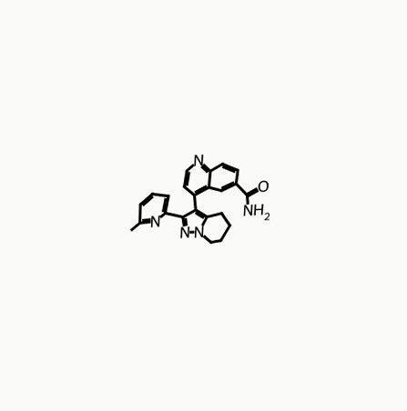 Cc1cccc(-c2nn3c(c2-c2ccnc4ccc(C(N)=O)cc24)CCCC3)n1